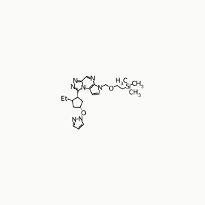 CC[C@@H]1C[C@@H](On2cccn2)C[C@@H]1c1nnc2cnc3c(ccn3COCC[Si](C)(C)C)n12